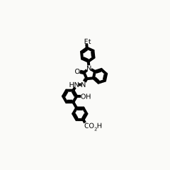 CCc1ccc(N2C(=O)C(=NNc3cccc(-c4ccc(C(=O)O)cc4)c3O)c3ccccc32)cc1